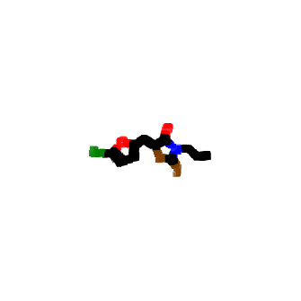 C=CCN1C(=O)/C(=C/c2ccc(Br)o2)SC1=S